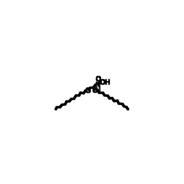 CCCCCCCCCCCCCCOCC(CNC(=O)O)OCCCCCCCCCCCCCC